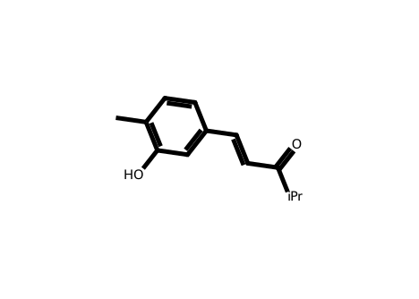 Cc1ccc(/C=C/C(=O)C(C)C)cc1O